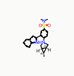 C[C@H]1[C@H]2CN(c3ccc(S(=O)(=O)N(C)C)cc3-c3cc4ccccc4[nH]3)C[C@@H]12